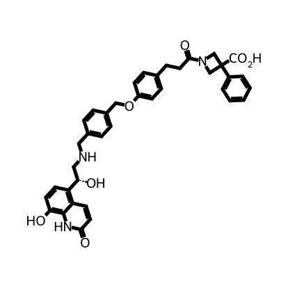 O=C(CCc1ccc(OCc2ccc(CNC[C@H](O)c3ccc(O)c4[nH]c(=O)ccc34)cc2)cc1)N1CC(C(=O)O)(c2ccccc2)C1